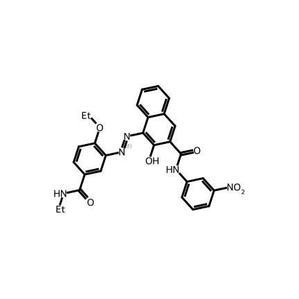 CCNC(=O)c1ccc(OCC)c(/N=N/c2c(O)c(C(=O)Nc3cccc([N+](=O)[O-])c3)cc3ccccc23)c1